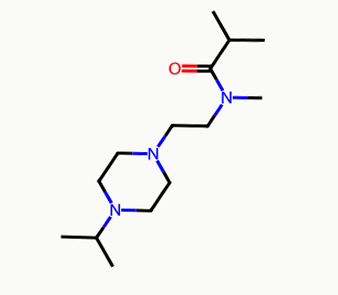 CC(C)C(=O)N(C)CCN1CCN(C(C)C)CC1